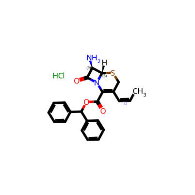 C/C=C\C1=C(C(=O)OC(c2ccccc2)c2ccccc2)N2C(=O)[C@@H](N)[C@@H]2SC1.Cl